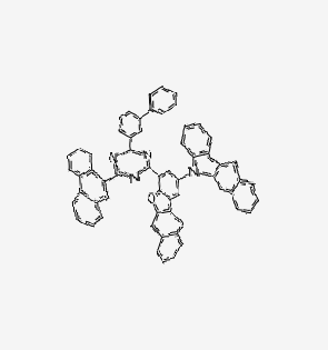 c1ccc(-c2cccc(-c3nc(-c4cc5ccccc5c5ccccc45)nc(-c4cc(-n5c6ccccc6c6cc7ccccc7cc65)cc5c4oc4cc6ccccc6cc45)n3)c2)cc1